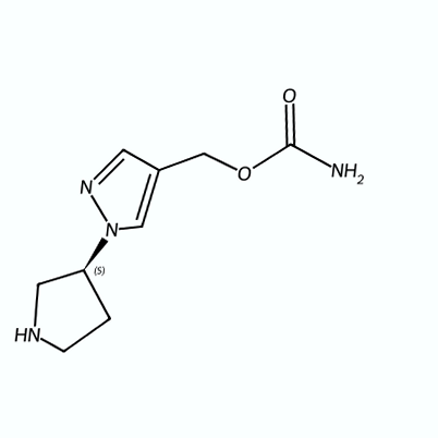 NC(=O)OCc1cnn([C@H]2CCNC2)c1